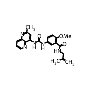 C=C(C)CNC(=O)c1cc(NC(=O)Nc2cc(C)nc3cccnc23)ccc1OC